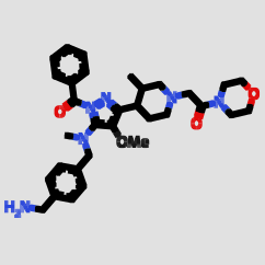 COc1c(C2CCN(CC(=O)N3CCOCC3)CC2C)nn(C(=O)c2ccccc2)c1N(C)Cc1ccc(CN)cc1